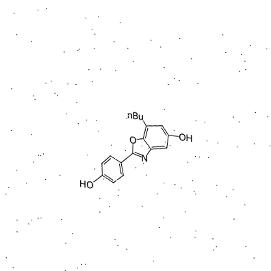 CCCCc1cc(O)cc2nc(-c3ccc(O)cc3)oc12